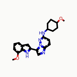 COc1cccc2cc(-c3cnc4ccc(NC5CCC(OC)CC5)nn34)[nH]c12